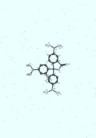 CCCCN(CCCC)c1ccc(C2(c3ccc(N(C)C)cc3)OC(=O)c3cc(N(C)C)ccc32)c(C)c1